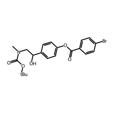 CN(CC(O)c1ccc(OC(=O)c2ccc(Br)cc2)cc1)C(=O)OC(C)(C)C